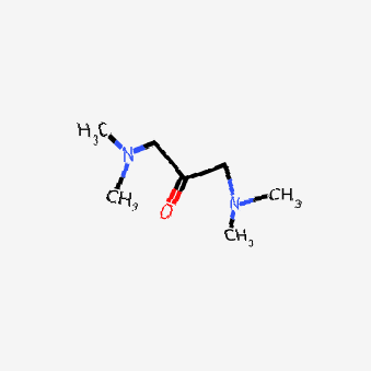 CN(C)CC(=O)CN(C)C